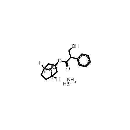 Br.CC(C)[N+]1(C)[C@@H]2CC[C@H]1CC(OC(=O)C(CO)c1ccccc1)C2.N